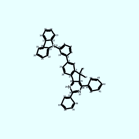 CC1(C)c2cc(-c3cccc(-n4c5ccccc5c5ccccc54)c3)ccc2-c2nc(-c3ccccc3)nc(-c3ccccc3)c21